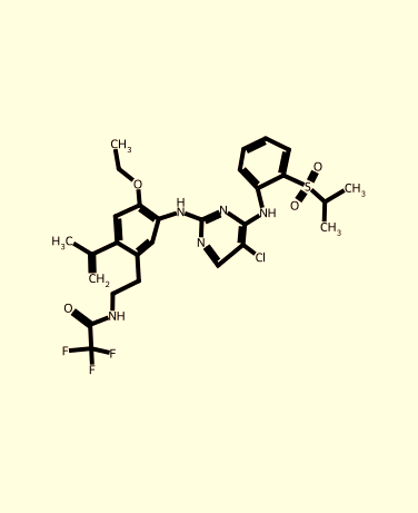 C=C(C)c1cc(OCC)c(Nc2ncc(Cl)c(Nc3ccccc3S(=O)(=O)C(C)C)n2)cc1CCNC(=O)C(F)(F)F